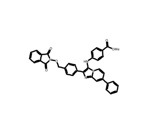 COC(=O)c1ccc(Nc2c(-c3ccc(CON4C(=O)c5ccccc5C4=O)cc3)nc3cc(-c4ccccc4)ccn23)cc1